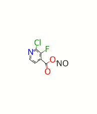 O=NOC(=O)c1ccnc(Cl)c1F